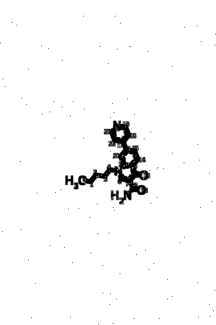 CCCCCn1cc(C(N)=O)c(=O)c2ccc(-c3ccncc3)cc21